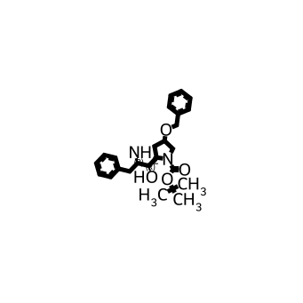 CC(C)(C)OC(=O)N1CC(OCc2ccccc2)CC1[C@H](O)[C@H](N)Cc1ccccc1